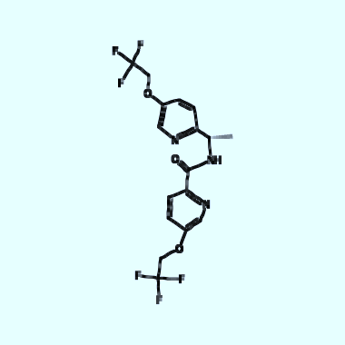 C[C@H](NC(=O)c1ccc(OCC(F)(F)F)cn1)c1ccc(OCC(F)(F)F)cn1